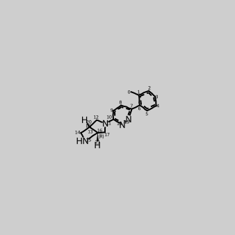 Cc1ccccc1-c1ccc(N2C[C@H]3CN[C@H]3C2)nn1